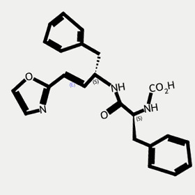 O=C(O)N[C@@H](Cc1ccccc1)C(=O)N[C@H](/C=C/c1ncco1)Cc1ccccc1